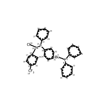 CCC(C)P(c1ccccc1)c1ccccc1.FC(F)(F)c1cc[c]([Ni]([Cl])[P](c2ccccc2)c2ccccc2)cc1